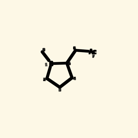 CB1CCCC1CC(C)=O